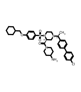 C[C@@H](c1ccc(-c2ccc(Cl)cc2)cc1)N1CCN(S(=O)(=O)c2ccc(OCC3CCCCC3)cc2)[C@H](C(=O)N2CCC(N)CC2)C1